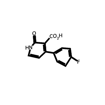 O=C(O)c1c(-c2ccc(F)cc2)cc[nH]c1=O